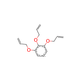 C=CCOc1c[c]cc(OCC=C)c1OCC=C